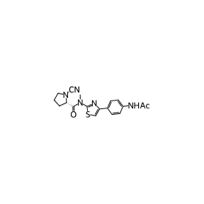 CC(=O)Nc1ccc(-c2csc(N(C)C(=O)[C@@H]3CCCN3C#N)n2)cc1